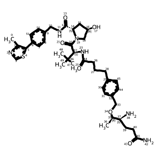 Cc1ncsc1-c1ccc(CNC(=O)[C@@H]2C[C@@H](O)CN2C(=O)[C@@H](NC(=O)CCCc2ccc(CO[C@H](C)[C@@H](N)CCC(N)=O)cc2)C(C)(C)C)cc1